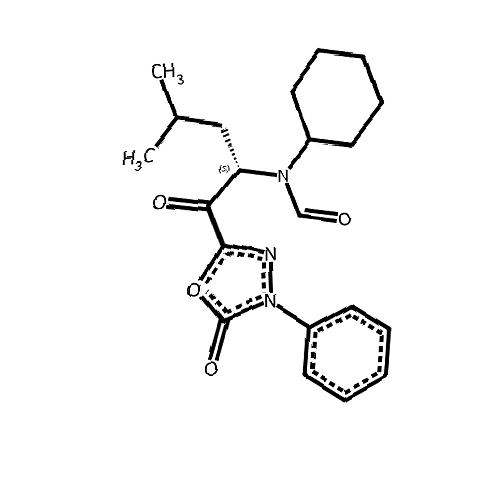 CC(C)C[C@@H](C(=O)c1nn(-c2ccccc2)c(=O)o1)N(C=O)C1CCCCC1